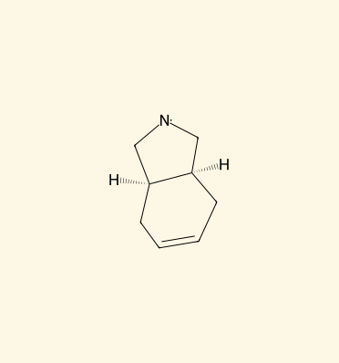 C1=CC[C@H]2C[N]C[C@H]2C1